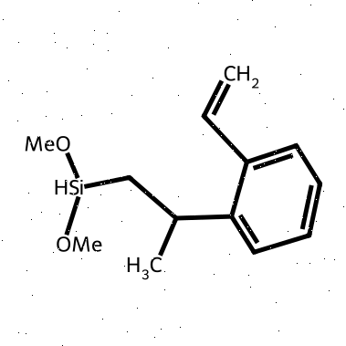 C=Cc1ccccc1C(C)C[SiH](OC)OC